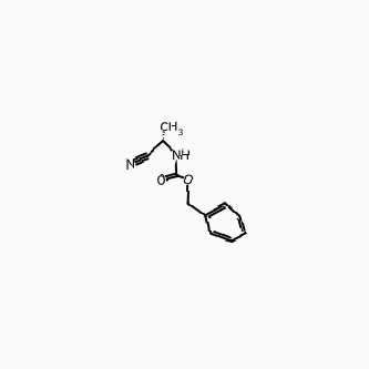 C[C@@H](C#N)NC(=O)OCc1ccccc1